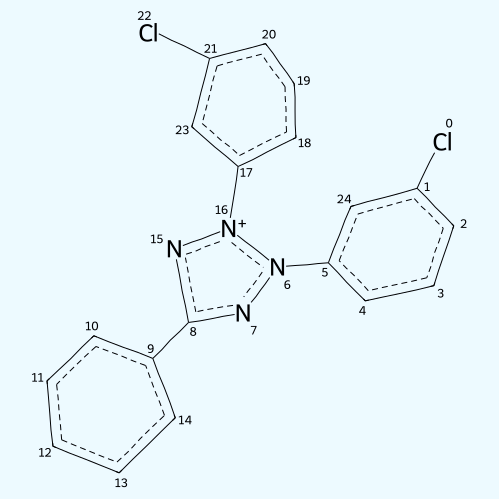 Clc1cccc(-n2nc(-c3ccccc3)n[n+]2-c2cccc(Cl)c2)c1